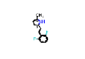 C[C@@H]1CC[C@H](CCc2c(F)cccc2F)N1